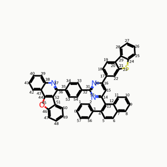 c1ccc(-c2ccc3ccccc3c2-c2cc(-c3ccc4c(c3)sc3ccccc34)nc(-c3ccc(-c4nc5ccccc5c5oc6ccccc6c45)cc3)n2)cc1